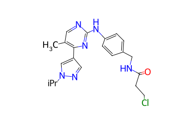 Cc1cnc(Nc2ccc(CNC(=O)CCCl)cc2)nc1-c1cnn(C(C)C)c1